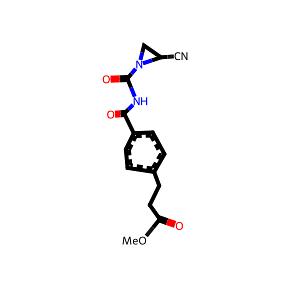 COC(=O)CCc1ccc(C(=O)NC(=O)N2CC2C#N)cc1